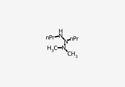 CCCNN(CCC)N(C)C